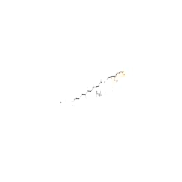 CCCCCCCCCCCCC(=S)C=S.[NaH]